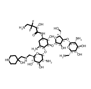 NC[C@@H]1O[C@H](O[C@H]2[C@@H](O)[C@H](O[C@@H]3[C@@H](O)[C@H](NC(=O)[C@@H](O)C(F)(F)CN)C[C@H](N)[C@H]3O[C@H]3O[C@H](CNCC4(O)CCNCC4)[C@@H](O)[C@H](O)[C@H]3N)O[C@@H]2CO)[C@H](N)[C@@H](O)[C@@H]1O